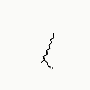 CCCCCCC=CC=C(C)C[C]=O